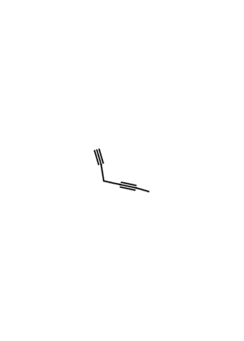 C#CCC#CC